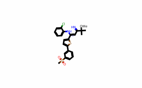 COC(C)(C)C(=N)/C=C(\Nc1ccccc1Cl)c1ccc(-c2cccc(S(C)(=O)=O)c2)s1